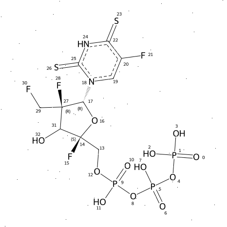 O=P(O)(O)OP(=O)(O)OP(=O)(O)OC[C@@]1(F)O[C@@H](n2cc(F)c(=S)[nH]c2=S)[C@@](F)(CF)C1O